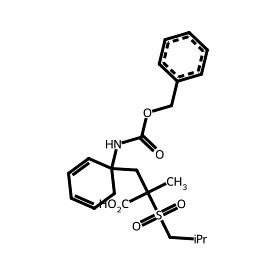 CC(C)CS(=O)(=O)C(C)(CC1(NC(=O)OCc2ccccc2)C=CC=CC1)C(=O)O